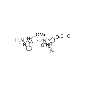 COCCc1nc2c(N)nc3ccccc3c2n1CCCCN(Cc1cccc(OCC=O)c1)C(=O)NCCN(C)C